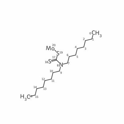 CCCCCCCCN(CCCCCCCC)C(=S)[S][Mo]